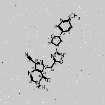 Cc1ccc([C@H]2C[C@H](c3noc(Cn4nc(C#N)c5ncn(C)c(=O)c54)n3)CO2)cc1